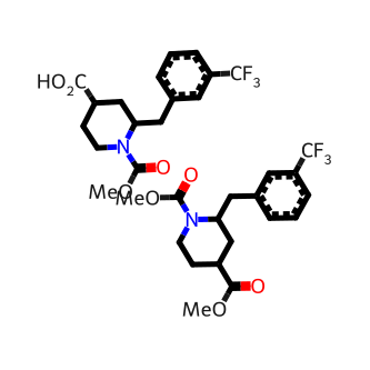 COC(=O)C1CCN(C(=O)OC)C(Cc2cccc(C(F)(F)F)c2)C1.COC(=O)N1CCC(C(=O)O)CC1Cc1cccc(C(F)(F)F)c1